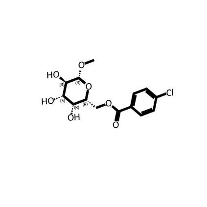 CO[C@@H]1O[C@H](COC(=O)c2ccc(Cl)cc2)[C@H](O)[C@H](O)[C@H]1O